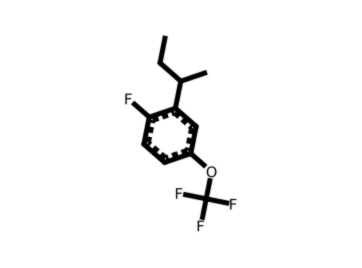 CCC(C)c1cc(OC(F)(F)F)ccc1F